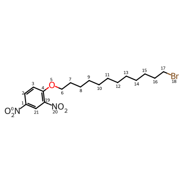 O=[N+]([O-])c1ccc(OCCCCCCCCCCCCBr)c([N+](=O)[O-])c1